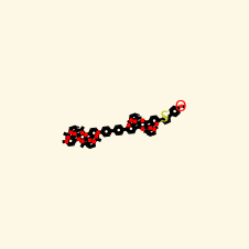 COc1ccc(-c2ccc(-c3ccc4c(c3)C3(c5cc6c(cc5-4)C4(c5cc(-c7ccc(-c8ccc(-c9ccc%10c(c9)C9(c%11cc%12c(cc%11-%10)C%10(c%11cc(C)ccc%11-%12)C%11(C(C)C)CCC%10(C(C)C)CC%11)C%10(C(C)C)CCC9(C(C)C)CC%10)cc8)cc7)ccc5-6)C5(C)CCC4(C)CC5)C4(C)CCC3(C)CC4)s2)cc1